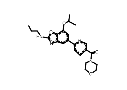 CCCNc1nc2cc(-c3ccc(C(=O)N4CCOCC4)cn3)cc(OC(C)C)c2o1